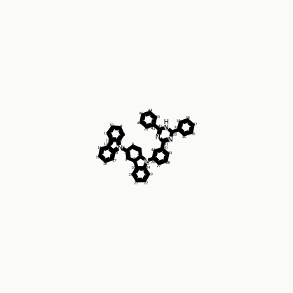 C1=CC2C(C=C1n1c3ccccc3c3ccccc31)c1ccccc1N2c1cccc(C2=NC(c3ccccc3)NC(c3ccccc3)=N2)c1